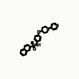 O=S(=O)(Nc1ccc(OC2CCN(c3ccncc3)CC2)cc1)c1ccc2ccccc2c1